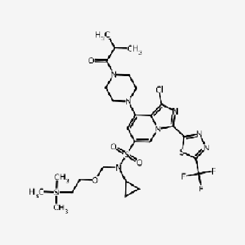 CC(C)C(=O)N1CCN(c2cc(S(=O)(=O)N(COCC[Si](C)(C)C)C3CC3)cn3c(-c4nnc(C(F)(F)F)s4)nc(Cl)c23)CC1